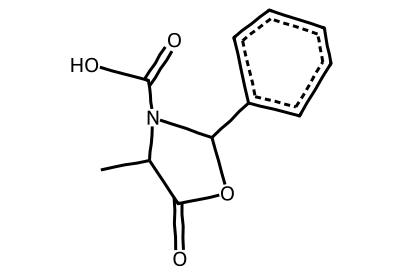 CC1C(=O)OC(c2ccccc2)N1C(=O)O